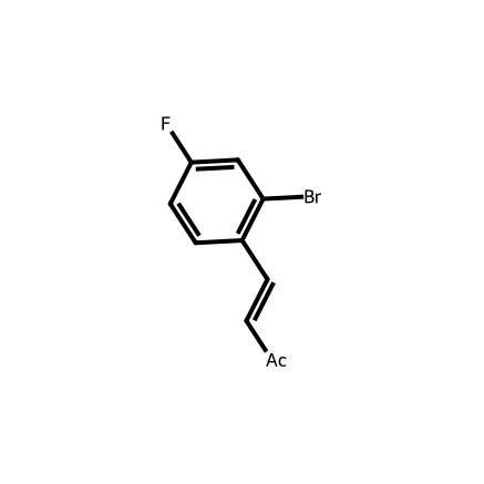 CC(=O)C=Cc1ccc(F)cc1Br